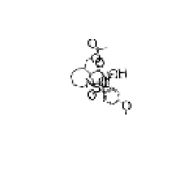 COc1ccc(S(=O)(=O)N2CCCCC(COC(C)=O)C2C(=O)NO)cc1